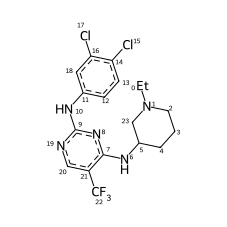 CCN1CCCC(Nc2nc(Nc3ccc(Cl)c(Cl)c3)ncc2C(F)(F)F)C1